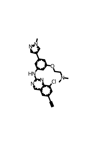 C#Cc1cc(Cl)c2nc(Nc3cc(OCCN(C)C)cc(-c4cnn(C)c4)c3)ncc2c1